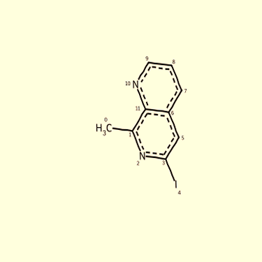 Cc1nc(I)cc2cccnc12